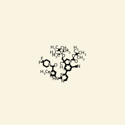 Cn1nc(Nc2nccc(-c3cc(C#N)c4c(c3)C(C)(CO[Si](C)(C)C(C)(C)C)CN4C(=O)OC(C)(C)C)n2)cc1C(=O)N1CCC(F)(F)CC1